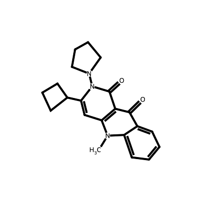 Cn1c2ccccc2c(=O)c2c(=O)n(N3CCCC3)c(C3CCC3)cc21